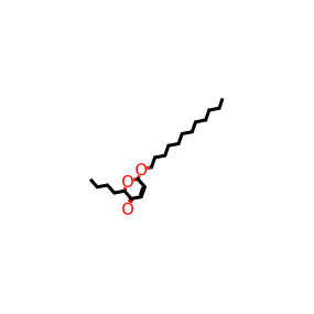 CCCCCCCCCCCCOC1C=CC(=O)C(CCCC)O1